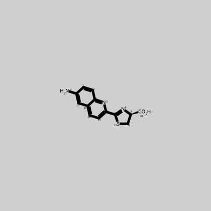 Nc1ccc2nc(C3=N[C@@H](C(=O)O)CS3)ccc2c1